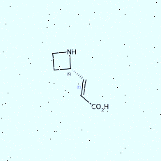 O=C(O)/C=C/[C@@H]1CCN1